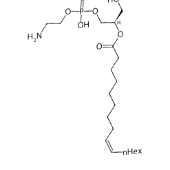 CCCCCC/C=C\CCCCCCCC(=O)O[C@H](CO)COP(=O)(O)OCCN